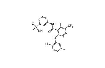 Cc1ccc(Cl)c(Oc2nnc(C(F)(F)F)c(C)c2C(=O)Nc2cccc(S(C)(=N)=O)c2)c1